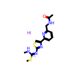 CN/C(=N\c1nc(-c2cccc(CNC(C)=O)n2)cs1)SC.I